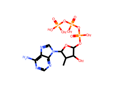 CC1C(O)C(OP(=O)(O)OP(=O)(O)OP(=O)(O)O)OC1n1cnc2c(N)ncnc21